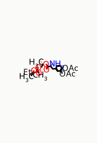 CCC(C)(C)OC(=O)OC[C@H](C)OC(=O)[C@@H](N)Cc1ccc(OC(C)=O)c(OC(C)=O)c1